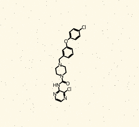 O=C(Nc1nccnc1Cl)N1CCN(Cc2cccc(Oc3ccc(Cl)cc3)c2)CC1